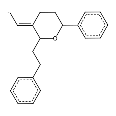 [CH2]/C=C1\CCC(c2ccccc2)OC1CCc1ccccc1